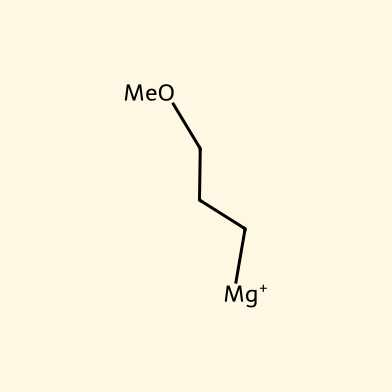 COCC[CH2][Mg+]